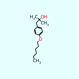 CCCCCCOc1ccc(CC(C)(C)O)cc1